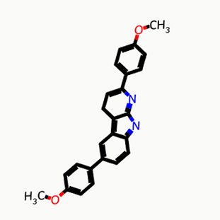 COc1ccc(C2=CCC3=c4cc(-c5ccc(OC)cc5)ccc4=NC3=N2)cc1